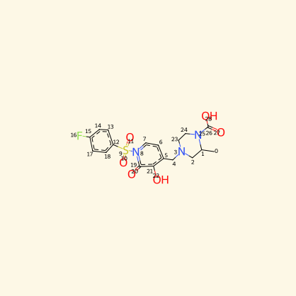 CC1CN(Cc2ccn(S(=O)(=O)c3ccc(F)cc3)c(=O)c2O)CCN1C(=O)O